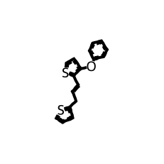 C(=Cc1sccc1Oc1ccccc1)Cc1cccs1